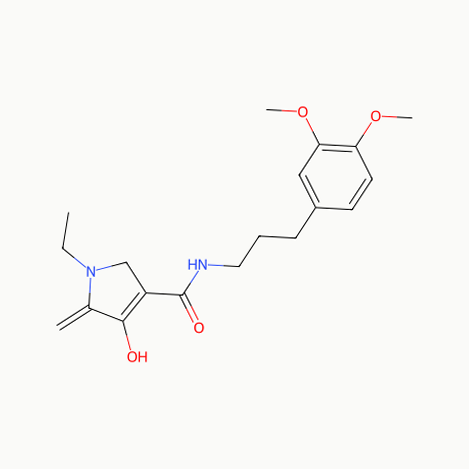 C=C1C(O)=C(C(=O)NCCCc2ccc(OC)c(OC)c2)CN1CC